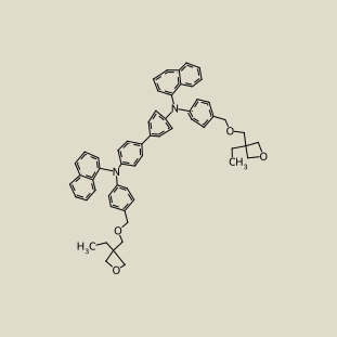 CCC1(COCc2ccc(N(c3ccc(-c4ccc(N(c5ccc(COCC6(CC)COC6)cc5)c5cccc6ccccc56)cc4)cc3)c3cccc4ccccc34)cc2)COC1